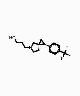 OCCCN1CC[C@]2(C[C@H]2c2ccc(C(F)(F)F)cc2)C1